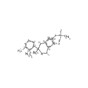 CC(=O)C1(c2cccc(C)c2C)CCc2nn(CC(C)(F)F)cc2C1